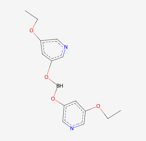 CCOc1cncc(OBOc2cncc(OCC)c2)c1